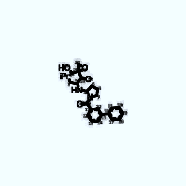 CC(C)CC(NC1CCCN1C(=O)c1cccc(-c2ccccc2)c1)C(=O)C1(CO)CO1